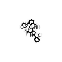 C[C@H](NC(=O)c1sc(-c2ccccc2Cl)nc1C(F)(F)F)c1cccc(N2CCOCC2)c1